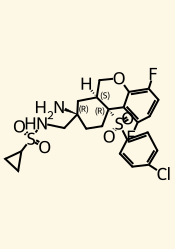 N[C@]1(CNS(=O)(=O)C2CC2)CC[C@]2(S(=O)(=O)c3ccc(Cl)cc3)c3c(F)ccc(F)c3OC[C@@H]2C1